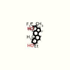 CCC1(O)CCC2(C)C(CCC3C2CCC2(C)C3CCC2[C@H](C)[C@H](O)C(F)(F)F)C1